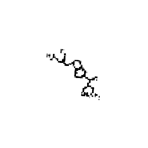 CCN(CC)C(=O)c1ccc2c(c1)CCN2CC(=CF)CN